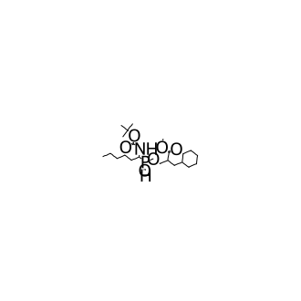 CCCCCC(NC(=O)OC(C)(C)C)[PH](=O)OCC(CC1CCCCC1)C(=O)OC